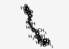 CCc1cc(Nc2ncc(Br)c(Nc3ccc4nccnc4c3P(C)(C)=O)n2)c(OC)cc1N1CCC(NCCNC(=O)C2CN(c3ccc4c(c3)C(=O)N(C3CCC(=O)NC3=O)C4=O)C2)CC1